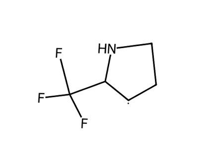 FC(F)(F)C1[CH]CCN1